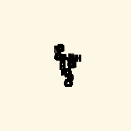 c1ccc(-c2cccc3[nH]c(-c4n[nH]c5ncc(-c6cncc(OC7CCCCC7)c6)cc45)cc23)nc1